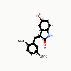 COc1ccc(OC)c(C=C2C(=O)Nc3ccc(Br)cc32)c1